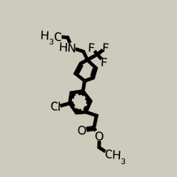 CCNCC1(C(F)(F)F)C=CC(c2cc(Cl)cc(CC(=O)OCC)c2)C=C1